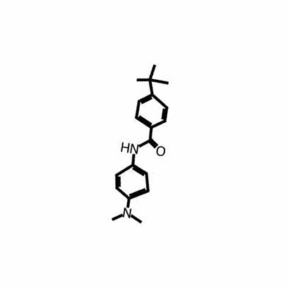 CN(C)c1ccc(NC(=O)c2ccc(C(C)(C)C)cc2)cc1